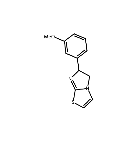 COc1cccc(C2CN3C=CSC3=N2)c1